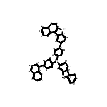 c1ccc2c(-c3ccc(N(c4ccc(-c5ccc6sc7ccc8ccccc8c7c6c5)cc4)c4ccc5c(c4)oc4ccccc45)cc3)cccc2c1